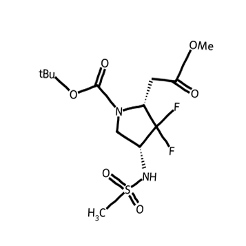 COC(=O)C[C@H]1N(C(=O)OC(C)(C)C)C[C@@H](NS(C)(=O)=O)C1(F)F